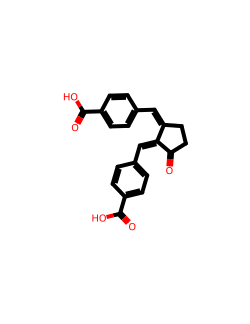 O=C1CCC(=Cc2ccc(C(=O)O)cc2)C1=Cc1ccc(C(=O)O)cc1